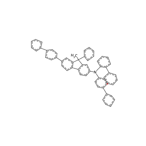 CC1(c2ccccc2)c2cc(-c3ccc(-c4ccccc4)cc3)ccc2-c2ccc(N(c3ccc(-c4ccccc4)cc3)c3ccccc3-c3ccccc3)cc21